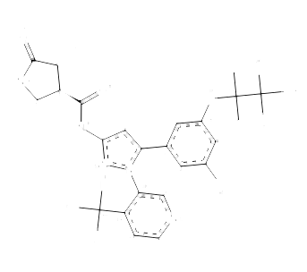 C[C@H]1C(=O)NC[C@@H]1C(=O)Nc1cc(-c2cc(F)cc(OC(C)(C)C(F)(F)F)c2)n(-c2cnccc2C(F)(F)F)n1